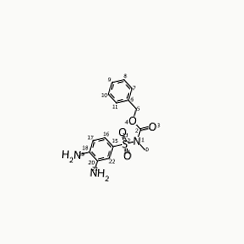 CN(C(=O)OCc1ccccc1)S(=O)(=O)c1ccc(N)c(N)c1